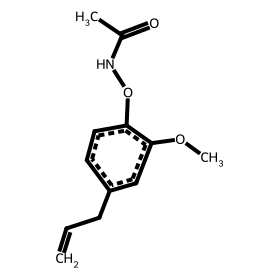 C=CCc1ccc(ONC(C)=O)c(OC)c1